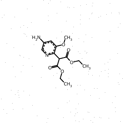 CCOC(=O)C(C(=O)OCC)c1ncc(N)cc1OC